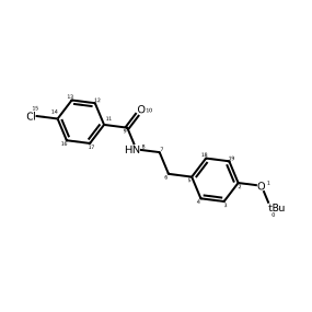 CC(C)(C)Oc1ccc(CCNC(=O)c2ccc(Cl)cc2)cc1